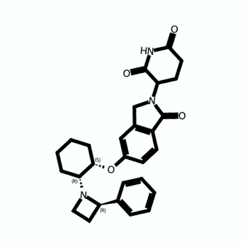 O=C1CCC(N2Cc3cc(O[C@H]4CCCC[C@H]4N4CC[C@@H]4c4ccccc4)ccc3C2=O)C(=O)N1